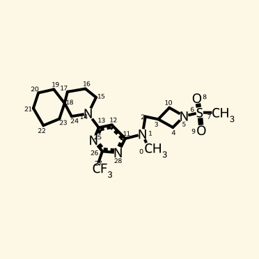 CN(CC1CN(S(C)(=O)=O)C1)c1cc(N2CCCC3(CCCCC3)C2)nc(C(F)(F)F)n1